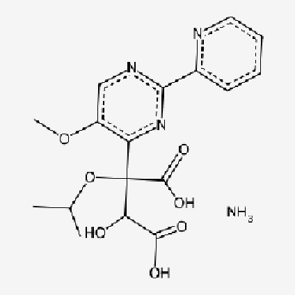 COc1cnc(-c2ccccn2)nc1C(OC(C)C)(C(=O)O)C(O)C(=O)O.N